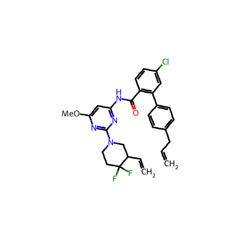 C=CCc1ccc(-c2cc(Cl)ccc2C(=O)Nc2cc(OC)nc(N3CCC(F)(F)C(C=C)C3)n2)cc1